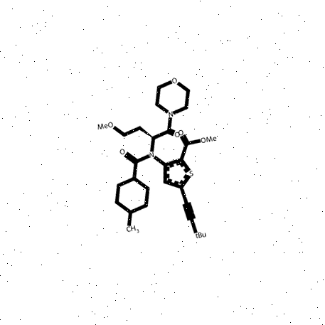 COCC[C@@H](C(=O)N1CCOCC1)N(C(=O)C1CCC(C)CC1)c1cc(C#CC(C)(C)C)sc1C(=O)OC